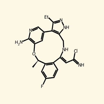 CCc1n[nH]c2c1-c1cnc(N)c(c1)O[C@H](C)c1cc(F)ccc1/C(=C/C(=N)Cl)NC2